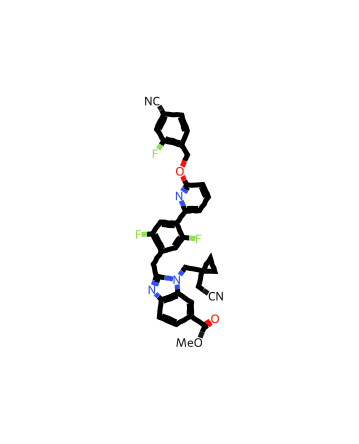 COC(=O)c1ccc2nc(Cc3cc(F)c(-c4cccc(OCc5ccc(C#N)cc5F)n4)cc3F)n(CC3(CC#N)CC3)c2c1